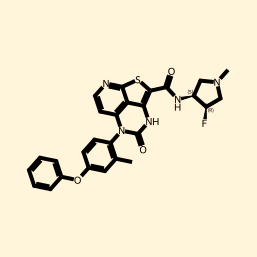 Cc1cc(Oc2ccccc2)ccc1N1C(=O)Nc2c(C(=O)N[C@H]3CN(C)C[C@H]3F)sc3nccc1c23